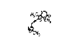 Cc1cc(CC#Cc2sc3c(c2C)SCCC(=O)N3C)no1